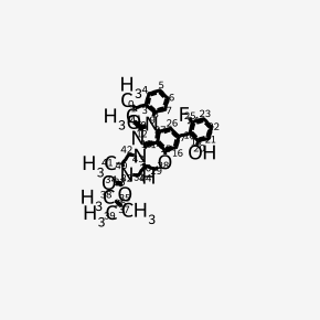 CC(C)c1ccccc1-n1c(=O)nc2c3c(cc(-c4c(O)cccc4F)cc31)OC[C@@H]1CN(C(=O)OC(C)(C)C)[C@H](C)CN21